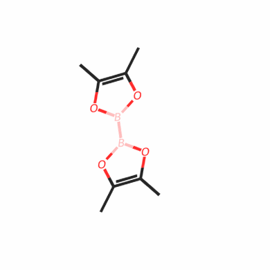 CC1=C(C)OB(B2OC(C)=C(C)O2)O1